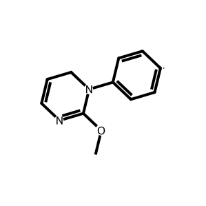 COC1=NC=CCN1c1cc[c]cc1